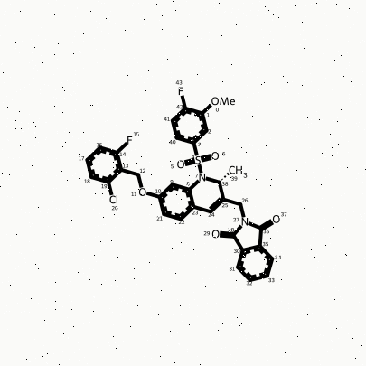 COc1cc(S(=O)(=O)N2c3cc(OCc4c(F)cccc4Cl)ccc3C=C(CN3C(=O)c4ccccc4C3=O)[C@H]2C)ccc1F